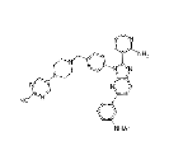 CC(=O)Nc1cccc(-c2ccc3nc(-c4cccnc4N)n(-c4ccc(CN5CCN(c6cnc(C#N)nc6)CC5)cc4)c3n2)c1